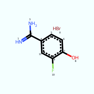 Br.N=C(N)c1ccc(O)c(F)c1